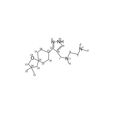 CN(C)CCN(C)Cc1c[nH]nc1C1CCC2(CC1)CC(C)(C)CO2